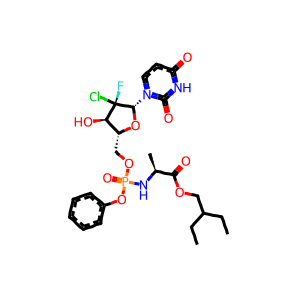 CCC(CC)COC(=O)[C@H](C)NP(=O)(OC[C@H]1O[C@@H](n2ccc(=O)[nH]c2=O)[C@@](F)(Cl)[C@@H]1O)Oc1ccccc1